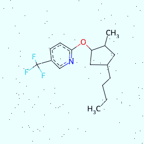 CCCCC1CC(C)C(Oc2ccc(C(F)(F)F)cn2)C1